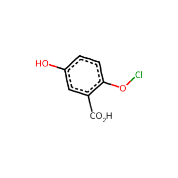 O=C(O)c1cc(O)ccc1OCl